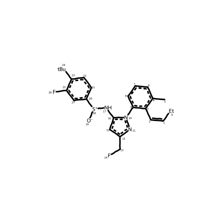 CC/C=C\c1c(C)cccc1-n1nc(CF)cc1N[S+]([O-])c1ccc(C(C)(C)C)c(F)c1